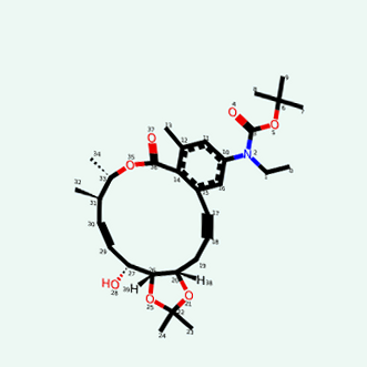 CCN(C(=O)OC(C)(C)C)c1cc(C)c2c(c1)C#CC[C@@H]1OC(C)(C)O[C@@H]1[C@H](O)/C=C\[C@@H](C)[C@H](C)OC2=O